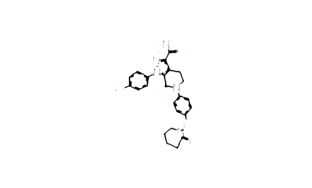 COc1ccc(-n2nc(C(N)=O)c3c2C(=O)N(c2ccc(ON4CCCCC4=O)cc2)CC3)cc1